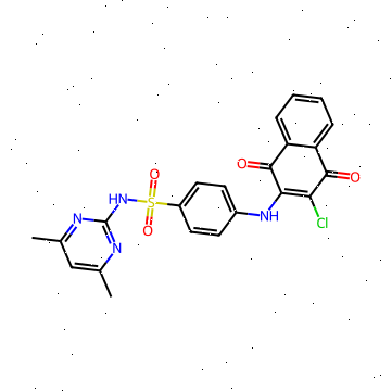 Cc1cc(C)nc(NS(=O)(=O)c2ccc(NC3=C(Cl)C(=O)c4ccccc4C3=O)cc2)n1